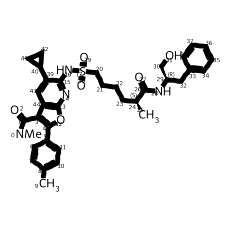 CNC(=O)c1c(-c2ccc(C)cc2)oc2nc(NS(=O)(=O)CCCC[C@H](C)C(=O)N[C@@H](CO)Cc3ccccc3)c(C3CC3)cc12